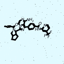 CC#CC(=O)N1CC2CCCC2C1c1nc(-c2ccc(C(=O)Nc3cc(C(F)(F)F)ccn3)cc2)c2c(N)nccn12